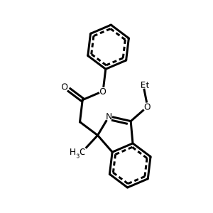 CCOC1=NC(C)(CC(=O)Oc2ccccc2)c2ccccc21